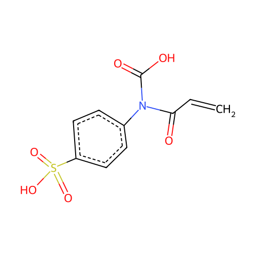 C=CC(=O)N(C(=O)O)c1ccc(S(=O)(=O)O)cc1